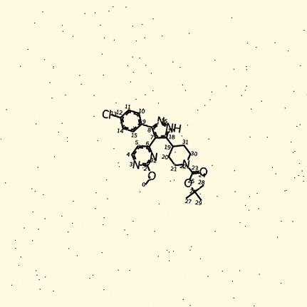 COc1nccc(-c2c(-c3ccc(Cl)cc3)n[nH]c2C2CCN(C(=O)OC(C)(C)C)CC2)n1